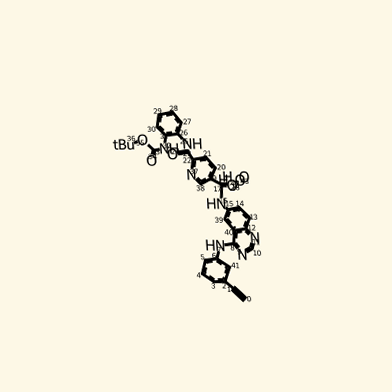 C#Cc1cccc(Nc2ncnc3ccc(NC(=O)c4ccc(C(=O)Nc5ccccc5NC(=O)OC(C)(C)C)nc4)cc23)c1.O.O